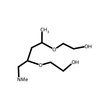 CNCC(CC(C)OCCO)OCCO